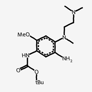 COc1cc(N(C)CCN(C)C)c(N)cc1NC(=O)OC(C)(C)C